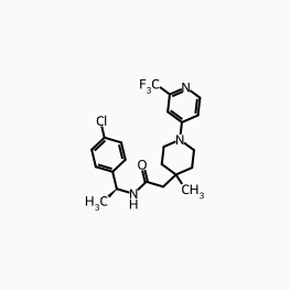 C[C@H](NC(=O)CC1(C)CCN(c2ccnc(C(F)(F)F)c2)CC1)c1ccc(Cl)cc1